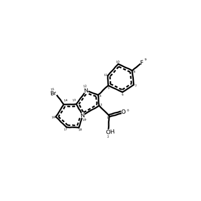 O=C(O)c1c(-c2ccc(F)cc2)nc2c(Br)cccn12